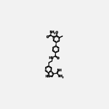 Cc1cc(-c2ccc(C(=O)NCCc3ccc4[nH]cc(C(=N)N)c4c3)cc2)cn(C(N)=O)c1=O